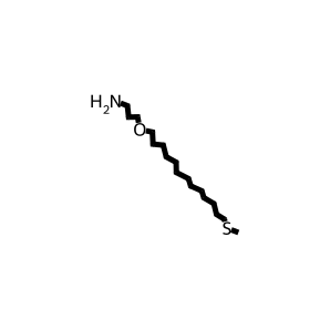 CSCCCCCCCCCCCCCOCCCN